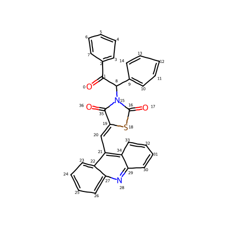 O=C(c1ccccc1)C(c1ccccc1)N1C(=O)SC(=Cc2c3ccccc3nc3ccccc23)C1=O